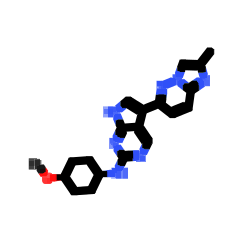 CCO[C@H]1CC[C@@H](Nc2ncc3c(-c4ccc5nc(C)cn5n4)c[nH]c3n2)CC1